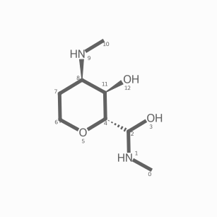 CNC(O)[C@@H]1O[CH]C[C@@H](NC)[C@H]1O